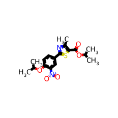 Cc1nc(-c2ccc(OC(C)C)c([N+](=O)[O-])c2)sc1C(=O)OC(C)C